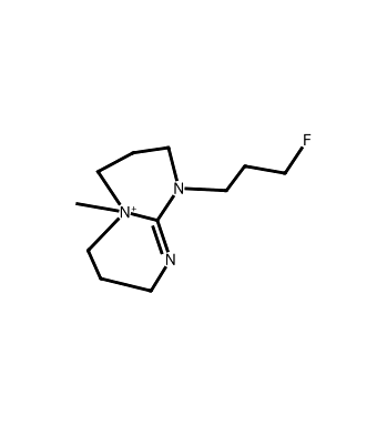 C[N+]12CCCN=C1N(CCCF)CCC2